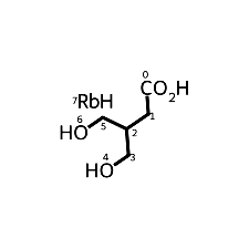 O=C(O)CC(CO)CO.[RbH]